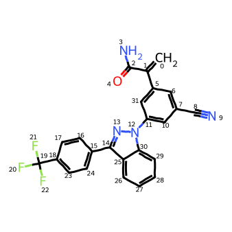 C=C(C(N)=O)c1cc(C#N)cc(-n2nc(-c3ccc(C(F)(F)F)cc3)c3ccccc32)c1